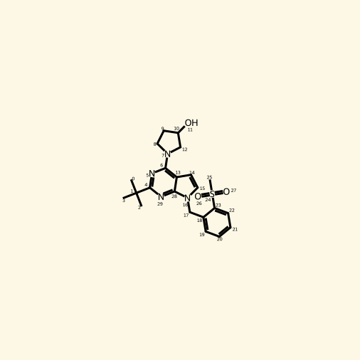 CC(C)(C)c1nc(N2CCC(O)C2)c2ccn(Cc3ccccc3S(C)(=O)=O)c2n1